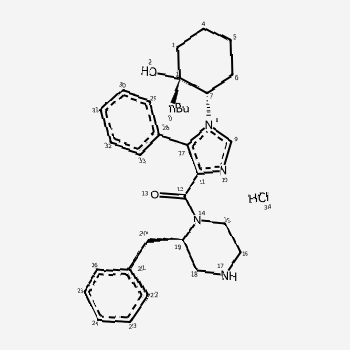 CCCC[C@@]1(O)CCCC[C@@H]1n1cnc(C(=O)N2CCNC[C@H]2Cc2ccccc2)c1-c1ccccc1.Cl